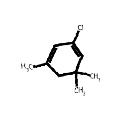 CC1=CC(Cl)=CC(C)(C)[CH]1